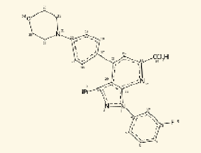 CC(C)c1nn(-c2cccc(F)c2)c2nc(C(=O)O)cc(-c3ccc(N4CCOCC4)cc3)c12